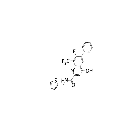 O=C(NCc1cccs1)c1cc(O)c2cc(-c3ccccc3)c(F)c(C(F)(F)F)c2n1